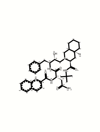 CC(C)(C)NC(=O)[C@@H]1C[C@@H]2CCCCC2CN1C[C@@H](O)[C@H](Cc1ccccc1)NC(=O)[C@H](CC(N)=O)NC(=O)c1ccc2ccccc2n1